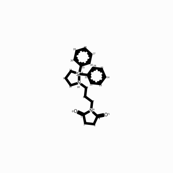 O=C1CCC(=O)N1CCCN1CCC[Si]1(c1ccccc1)c1ccccc1